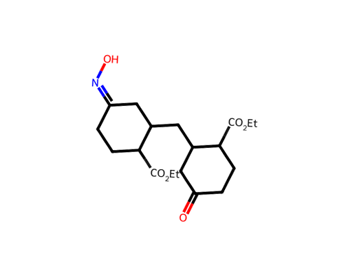 CCOC(=O)C1CCC(=O)CC1CC1C/C(=N\O)CCC1C(=O)OCC